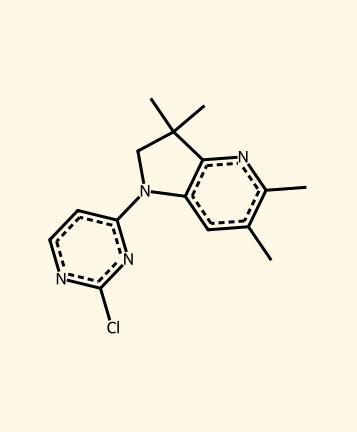 Cc1cc2c(nc1C)C(C)(C)CN2c1ccnc(Cl)n1